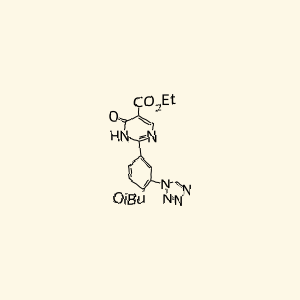 CCOC(=O)c1cnc(-c2ccc(OCC(C)C)c(-n3cnnn3)c2)[nH]c1=O